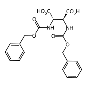 O=C(N[C@H](C(=O)O)[C@H](NC(=O)OCc1ccccc1)C(=O)O)OCc1ccccc1